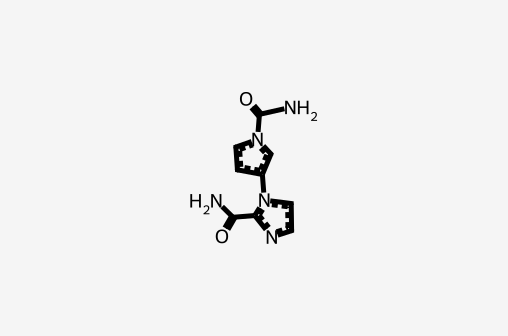 NC(=O)c1nccn1-c1ccn(C(N)=O)c1